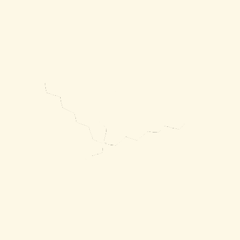 CCCCCCCC[P+](CC)(CC)CCCCCCCC.[Cl-]